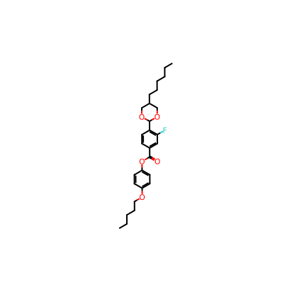 CCCCCCC1COC(c2ccc(C(=O)Oc3ccc(OCCCCC)cc3)cc2F)OC1